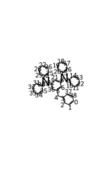 c1ccc(Cc2cc(N(c3ccccc3)c3ccccc3)cc(N(c3ccccc3)c3ccccc3)c2)cc1